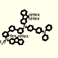 CCCCCCC1(CCCCCC)c2ccccc2-c2ccc(N(C)c3cccc(-c4cccc(-c5cccc(N(c6ccc(-c7ccc(N(c8ccccc8)c8ccccc8)cc7)cc6)c6ccc7c(c6)C(CCCCCC)(CCCCCC)c6ccccc6-7)c5)c4)c3)cc21